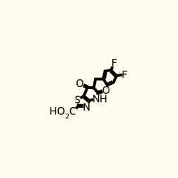 O=C(O)c1nc2c(s1)C(=O)C(Cc1ccc(F)c(F)c1)C(=O)N2